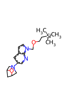 C[Si](C)(C)CCOCn1ccc2cc(N3CC4CC(C3)O4)cnc21